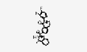 C[C@@H](NS(=O)(=O)c1ccc(F)c(C(=O)Nc2ccc(F)c(F)c2)c1)C1CCCCC1